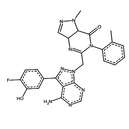 Cc1ccccc1N1C(=O)C2C(C=NN2C)N=C1Cn1nc(-c2ccc(F)c(O)c2)c2c(N)ncnc21